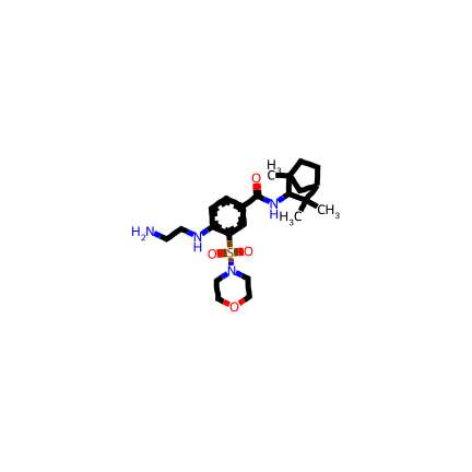 CC12CCC(C1)C(C)(C)C2NC(=O)c1ccc(NCCN)c(S(=O)(=O)N2CCOCC2)c1